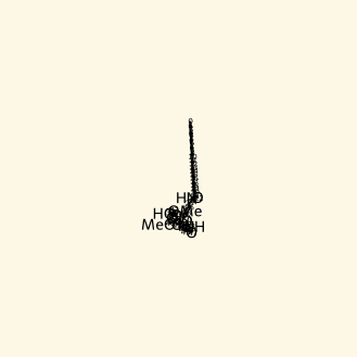 CC#CC#CC#CC#CC#CC#CC#CC#CC#CC#CC(=O)NCCCC/C=C/C[C@H]1C(OP(=O)(O)OC)[C@@H](COC)O[C@H]1n1ccc(=O)[nH]c1=O